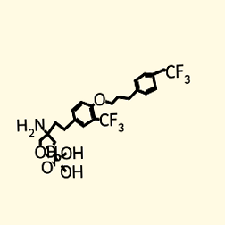 NC(CO)(CCc1ccc(OCCCc2ccc(CC(F)(F)F)cc2)c(C(F)(F)F)c1)COP(=O)(O)O